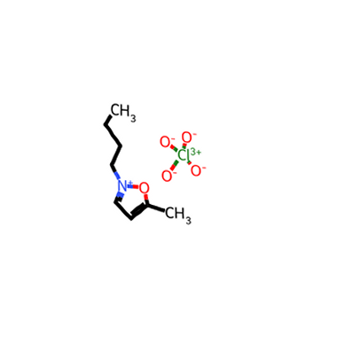 CCCC[n+]1ccc(C)o1.[O-][Cl+3]([O-])([O-])[O-]